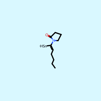 CCCCC=[C]([SnH])N1CCCC1=O